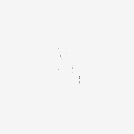 CCCn1cc(C(C)(CC)CC)cn1